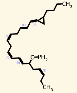 CC/C=C\CC(/C=C/C=C\C/C=C\C/C=C/C=C1\CC1CCCC)OP